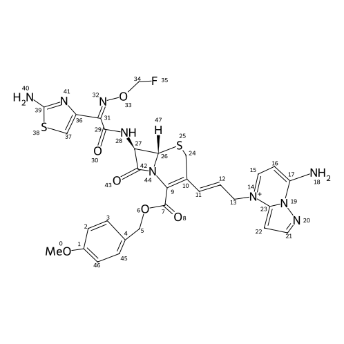 COc1ccc(COC(=O)C2=C(/C=C/C[n+]3ccc(N)n4nccc43)CS[C@H]3[C@H](NC(=O)C(=NOCF)c4csc(N)n4)C(=O)N23)cc1